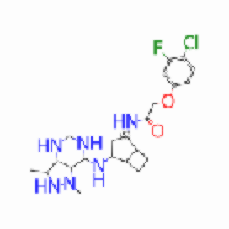 CC1NN(C)C2C(NC3C[C@H](NC(=O)COc4ccc(Cl)c(F)c4)C4CCC34)NCNC12